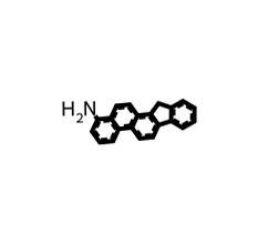 Nc1cccc2c1ccc1c3c(ccc12)-c1ccccc1C3